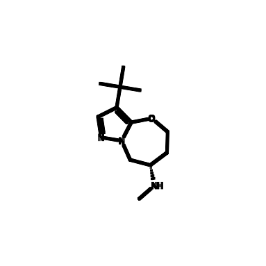 CN[C@H]1CCOc2c(C(C)(C)C)cnn2C1